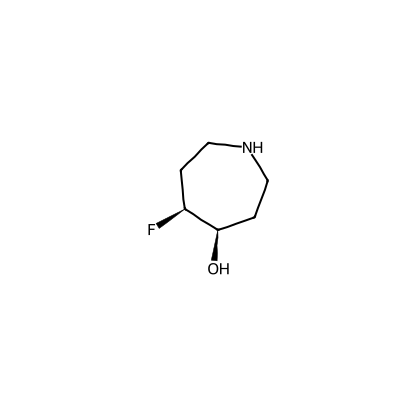 O[C@@H]1CCNCC[C@@H]1F